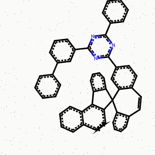 C1=Cc2ccc(-c3nc(-c4ccccc4)nc(-c4cccc(-c5ccccc5)c4)n3)cc2C2(c3ccccc31)c1ccccc1-c1c2c2ccccc2c2ccccc12